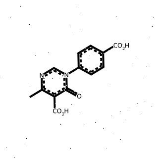 Cc1ncn(-c2ccc(C(=O)O)cc2)c(=O)c1C(=O)O